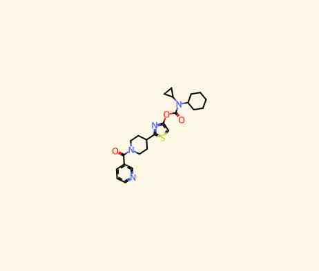 O=C(c1cccnc1)N1CCC(c2nc(OC(=O)N(C3CCCCC3)C3CC3)cs2)CC1